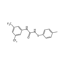 Cc1ccc(SNC(=O)Nc2cc(C(F)(F)F)cc(C(F)(F)F)c2)cc1